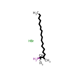 Br.CCCCCCCCCCCCCCCCC(C)C(C)(C)P